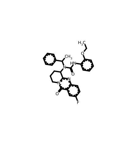 CCOc1ccccc1NC(=O)N(C(C)c1ccccc1)C1CCCn2c1nc1ccc(F)cc1c2=O